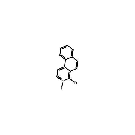 CCc1c2ccc3ccccc3c2cc[n+]1I